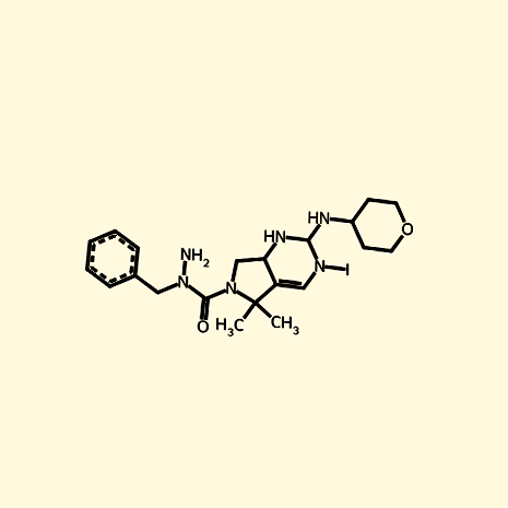 CC1(C)C2=CN(I)C(NC3CCOCC3)NC2CN1C(=O)N(N)Cc1ccccc1